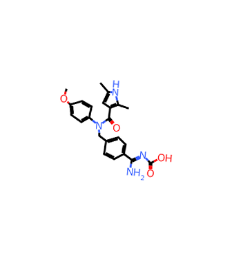 COc1ccc(N(Cc2ccc(C(N)=NC(=O)O)cc2)C(=O)c2cc(C)[nH]c2C)cc1